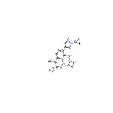 CC(=O)N1c2ccc(-c3cnn(C4CC4)c3)c(OC3CCC3)c2CC[C@@H]1C